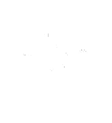 CCCCc1cc(O)c2sc3nc(-c4ccccc4OC)n(Cc4ccccc4)c(=O)c3c2c1